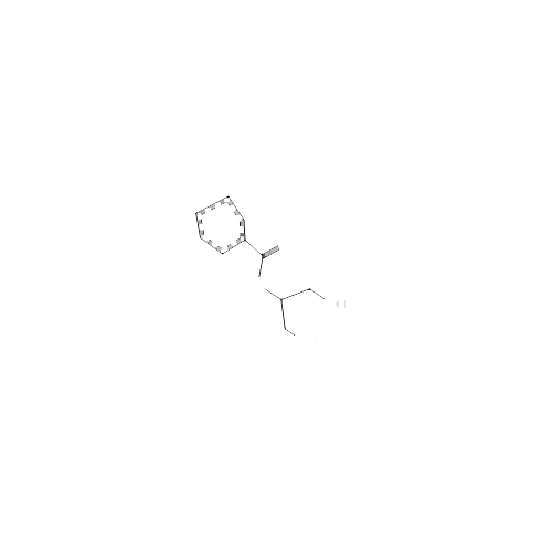 O=C(OC(CO)CO)c1ccccc1